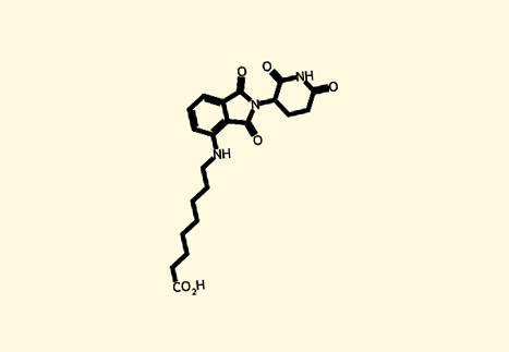 O=C(O)CCCCCCCNc1cccc2c1C(=O)N(C1CCC(=O)NC1=O)C2=O